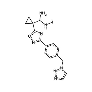 NC(NI)C1(c2nc(-c3ccc(Cn4ccnn4)cc3)no2)CC1